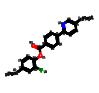 CCCCCCCc1ccc(-c2ccc(C(=O)Oc3ccc(CCCCC)cc3F)cc2)nc1